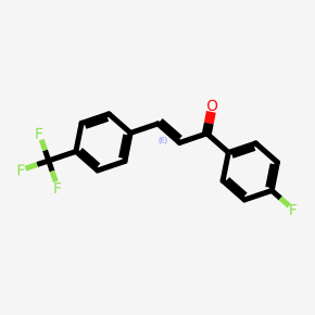 O=C(/C=C/c1ccc(C(F)(F)F)cc1)c1ccc(F)cc1